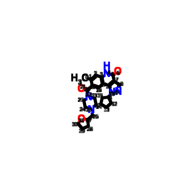 Cc1cc2[nH]c(=O)c3cnn(C4CCCC4)c3c2cc1C(=O)N1CCN(CC2CCCO2)CC1